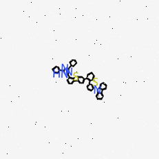 C1=CCC(C2=NC(c3ccccc3)NC(c3cccc4c3sc3cc(-c5cccc6sc7c(-n8c9ccccc9c9ccccc98)cccc7c56)ccc34)=N2)C=C1